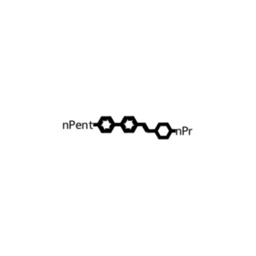 CCCCCc1ccc(-c2ccc(C=CC3CCC(CCC)CC3)cc2)cc1